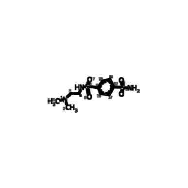 CN(C)CCNS(=O)(=O)c1ccc(S(N)(=O)=O)cc1